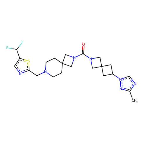 O=C(N1CC2(CCN(Cc3ncc(C(F)F)s3)CC2)C1)N1CC2(CC(n3cnc(C(F)(F)F)n3)C2)C1